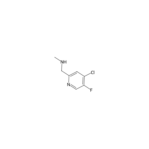 CNCc1cc(Cl)c(F)cn1